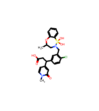 CC1CN(Cc2cc(C(CC(=O)O)c3ccn(C)c(=O)c3)ccc2Cl)S(O)(O)c2ccccc2O1